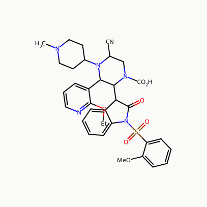 CCOc1ncccc1C1C(C2C(=O)N(S(=O)(=O)c3ccccc3OC)c3ccccc32)N(C(=O)O)CC(C#N)N1C1CCN(C)CC1